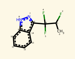 CC(F)C(F)(F)c1n[nH]c2ccccc12